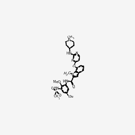 COc1c(NC(=O)c2cc3cccc(Oc4ccnc(NC5CCN(C)CC5)n4)c3n2C)cc(C(C)(C)C)cc1NS(C)(=O)=O